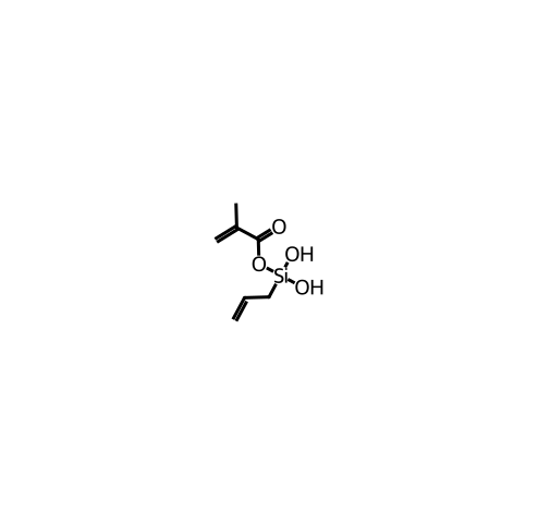 C=CC[Si](O)(O)OC(=O)C(=C)C